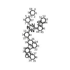 c1ccc(-c2cccc(-c3nc(-c4cccc(-c5cc6c7c(cccc7c5)-c5c-6ccc6oc7ccccc7c56)c4)nc(-c4cccc5c4sc4ccccc45)n3)c2)cc1